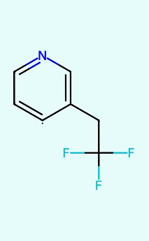 FC(F)(F)Cc1[c]ccnc1